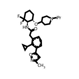 Cc1cc(-c2cccc(CC(=O)N[C@@H]3[C@@H](OC4CCN(C(C)C)CC4)CCCC3(F)F)c2C2CC2)on1